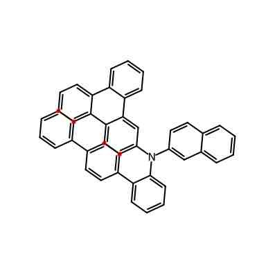 c1ccc(-c2ccc(-c3ccccc3N(c3ccc4ccccc4c3)c3ccc4c5ccccc5c5ccccc5c4c3)cc2)cc1